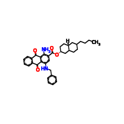 CCCCC1CCC2C[C@H](OC(=O)c3cc(NCc4ccccc4)c4c(c3N)C(=O)c3ccccc3C4=O)CC[C@@H]2C1